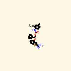 Cc1ccc(NC(=O)OCC(Oc2cccc3sc(C(=N)N)cc23)c2ccccc2)c([N+](=O)[O-])c1